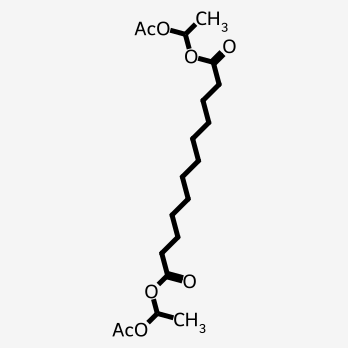 CC(=O)OC(C)OC(=O)CCCCCCCCCCC(=O)OC(C)OC(C)=O